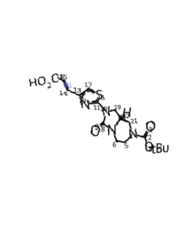 CC(C)(C)OC(=O)N1CCN2C(=O)N(c3nc(/C=C/C(=O)O)cs3)C[C@@H]2C1